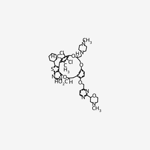 Cc1c(Cl)c2c(Cl)c(C)c1-c1c(C3CCCCC3)sc3ncnc(c13)O[C@@H](C(=O)O)Cc1cc(ccc1OCc1ccnc(C3CN(C)CCO3)n1)OC[C@@H](CN1CCN(C)CC1)O2